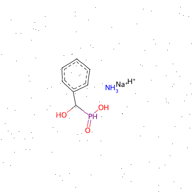 N.O=[PH](O)C(O)c1ccccc1.[H+].[Na+]